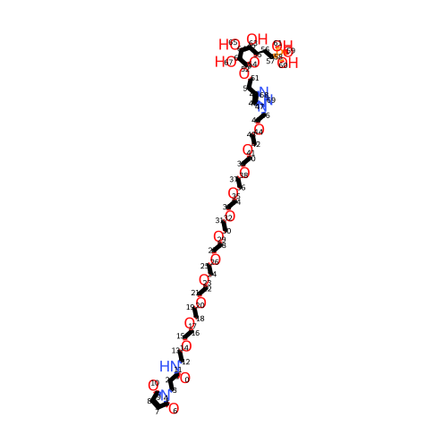 O=C(CCN1C(=O)C=CC1=O)NCCOCCOCCOCCOCCOCCOCCOCCOCCOCCOCCOCCn1cc(CCO[C@H]2O[C@H](CCP(=O)(O)O)[C@@H](O)[C@H](O)[C@@H]2O)nn1